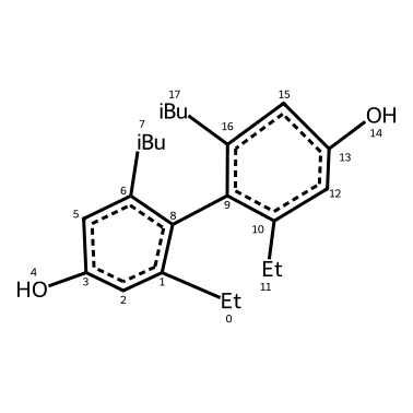 CCc1cc(O)cc(C(C)CC)c1-c1c(CC)cc(O)cc1C(C)CC